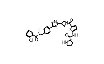 O=C(NCc1ccc(-c2cnc(C3CN(C(=O)c4ccc(NC(=O)[C@@H]5CCCN5)s4)C3)s2)cc1)c1ccccc1Cl